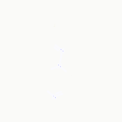 C=C1C=NC=CN1/N=C(\C)S